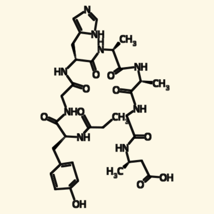 CCC(=O)N[C@@H](Cc1ccc(O)cc1)C(=O)NCC(=O)N[C@@H](Cc1cnc[nH]1)C(=O)N[C@@H](C)C(=O)N[C@@H](C)C(=O)NCC(=O)N[C@H](C)CC(=O)O